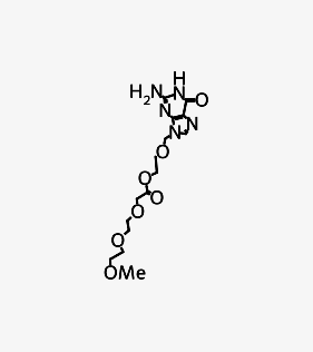 COCCOCCOCC(=O)OCCOCn1cnc2c(=O)[nH]c(N)nc21